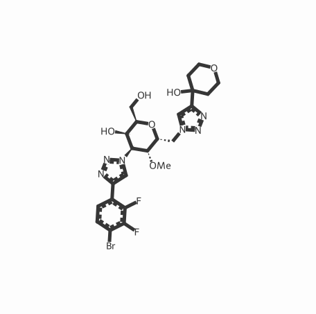 CO[C@@H]1[C@@H](n2cc(-c3ccc(Br)c(F)c3F)nn2)[C@@H](O)[C@@H](CO)O[C@@H]1Cn1cc(C2(O)CCOCC2)nn1